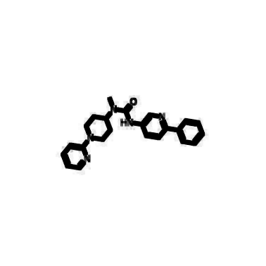 CN(C(=O)Nc1ccc(-c2ccccc2)nc1)C1CCN(c2ccccn2)CC1